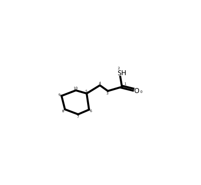 O=C(S)CCC1CCCCC1